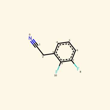 N#C[CH]c1cccc(F)c1F